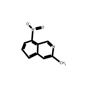 Cc1cc2cccc([N+](=O)[O-])c2cn1